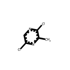 Cc1nc(Cl)cnc1Cl